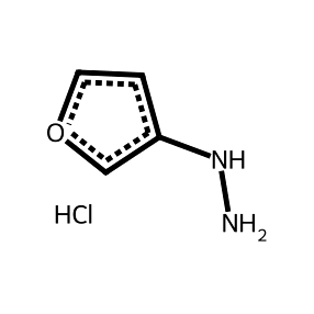 Cl.NNc1ccoc1